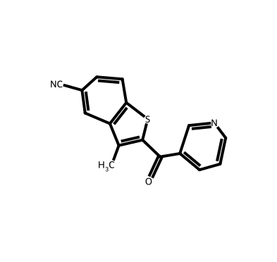 Cc1c(C(=O)c2cccnc2)sc2ccc(C#N)cc12